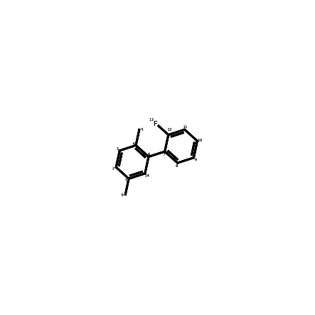 Cc1ccc(C)c(-c2ccccc2F)c1